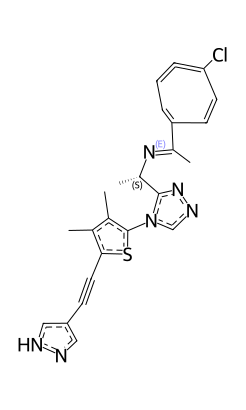 C/C(=N\[C@@H](C)c1nncn1-c1sc(C#Cc2cn[nH]c2)c(C)c1C)C1=CC=C=C(Cl)C=C1